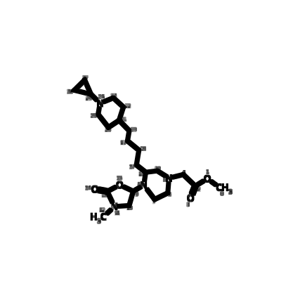 COC(=O)CN1CCN(C2CN(C)C(=O)O2)C(CCCCC2CCN(C3CC3)CC2)C1